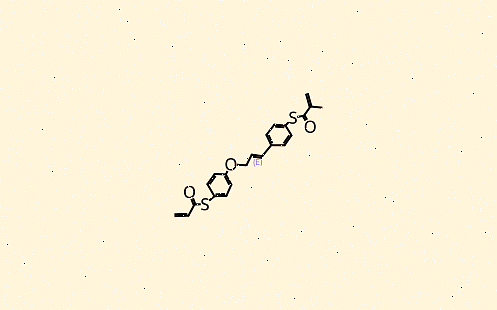 C=CC(=O)Sc1ccc(OC/C=C/c2ccc(SC(=O)C(=C)C)cc2)cc1